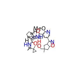 COc1ncc(C2=NOC3CC(C)(CO)CC23)cc1C(=O)N[C@H]1[C@@H](C(=O)N[C@H](C)C2(C)CC2)[C@H]2CC[C@@H]1/C2=C\C1CC1